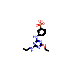 CCCNc1nc(Nc2cccc(S(=O)(=O)O)c2)nc(OCC)n1